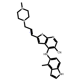 Cc1c(Nc2c(C#N)cnc3sc(/C=C/CN4CCN(C)CC4)cc23)ccc2[nH]ccc12